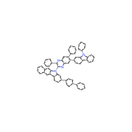 c1ccc(-c2ccc(-c3ccc4c5cc6ccccc6cc5n(-c5nc6cc(-c7ccc8c9ccccc9n(-c9ccccc9)c8c7)c(-c7ccccc7)cc6nc5-c5ccccc5)c4c3)cc2)cc1